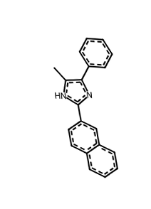 Cc1[nH]c(-c2ccc3ccccc3c2)nc1-c1ccccc1